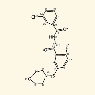 O=C(NNC(=O)c1cc(SN2CCOCC2)ccc1F)c1cccc(Cl)c1